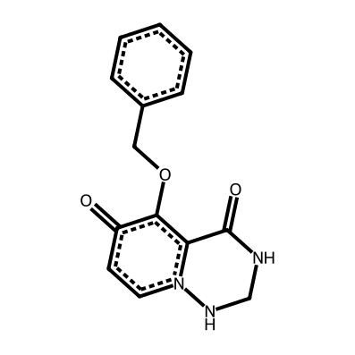 O=C1NCNn2ccc(=O)c(OCc3ccccc3)c21